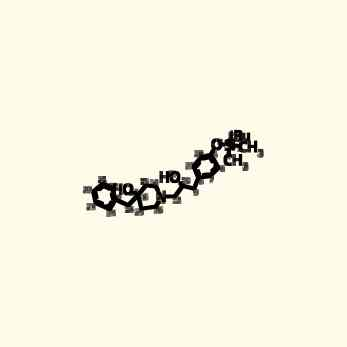 CC(C)(C)[Si](C)(C)Oc1ccc(CC(O)CN2CCC(O)(Cc3ccccc3)CC2)cc1